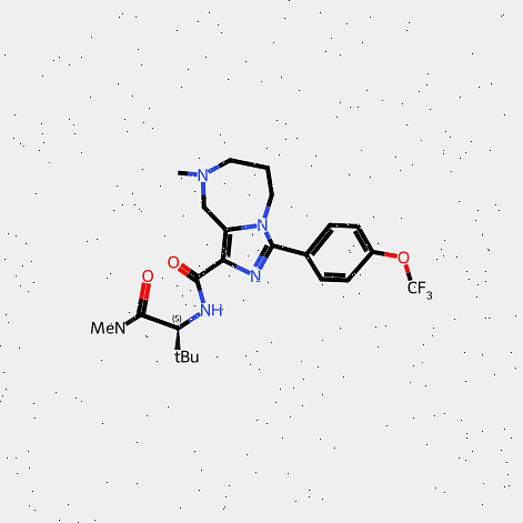 CNC(=O)[C@@H](NC(=O)c1nc(-c2ccc(OC(F)(F)F)cc2)n2c1CN(C)CCC2)C(C)(C)C